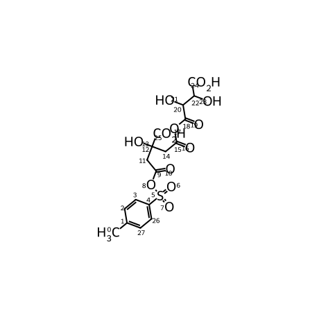 Cc1ccc(S(=O)(=O)OC(=O)CC(O)(CC(=O)OC(=O)C(O)C(O)C(=O)O)C(=O)O)cc1